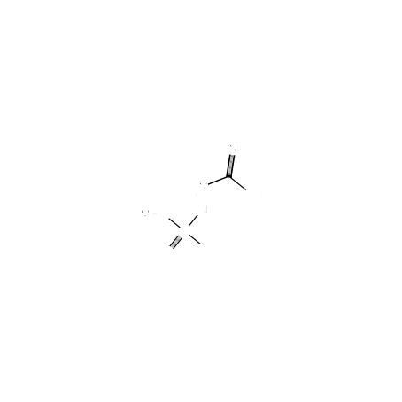 COP(O)(=S)S.N=C(N)S